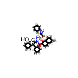 O=C(N[C@H](C(=O)O)C(c1ccccc1)c1ccccc1)c1ccc2cc(F)ccc2c1OCc1nc2ccccc2s1